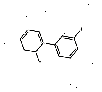 FC1CC=CC=C1c1cccc(I)c1